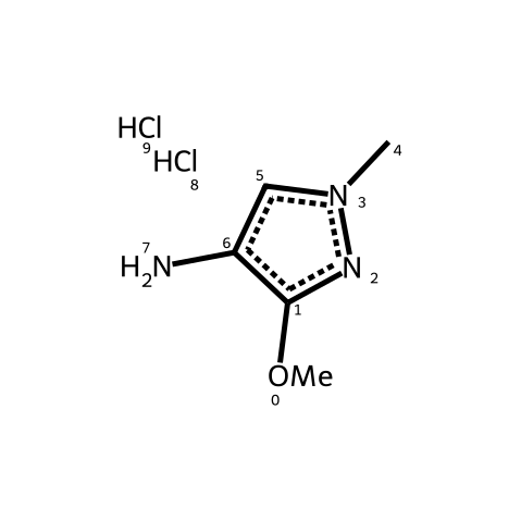 COc1nn(C)cc1N.Cl.Cl